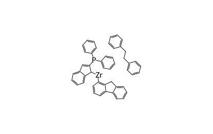 C1=C(P(c2ccccc2)c2ccccc2)[CH]([Zr][c]2cccc3c2Cc2ccccc2-3)c2ccccc21.c1ccc(CCc2ccccc2)cc1